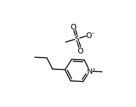 CCCc1cc[n+](C)cc1.CS(=O)(=O)[O-]